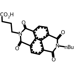 CCCCN1C(=O)c2ccc3c4c(ccc(c24)C1=O)C(=O)N(CCCC(=O)O)C3=O